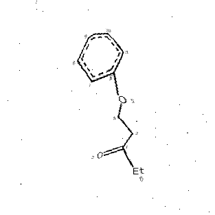 CCC(=O)[CH]COc1ccccc1